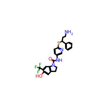 NCCC(Sc1ccc(NC(=O)N2CCc3cc(O)c(C(F)(F)F)cc32)cn1)c1ccccc1